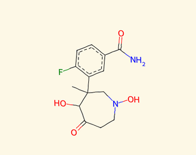 CC1(c2cc(C(N)=O)ccc2F)CN(O)CCC(=O)C1O